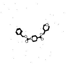 O=C(OCC1CCOCC1)C1CCN(C(=O)OCc2ccccc2)CC1